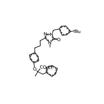 CCOC(=O)C(C)(Cc1ccccc1)Oc1ccc(CCCc2nn(Cc3ccc(C(C)(C)C)cc3)c(=O)n2C)cc1